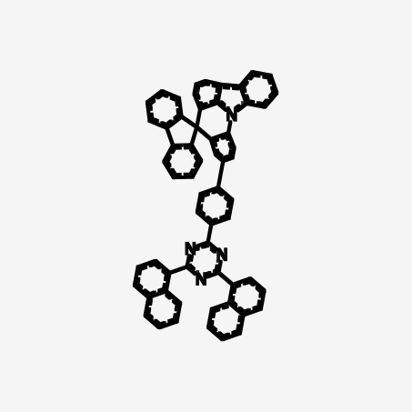 c1ccc2c(c1)-c1ccccc1C21c2cc(-c3ccc(-c4nc(-c5cccc6ccccc56)nc(-c5cccc6ccccc56)n4)cc3)ccc2-n2c3ccccc3c3cccc1c32